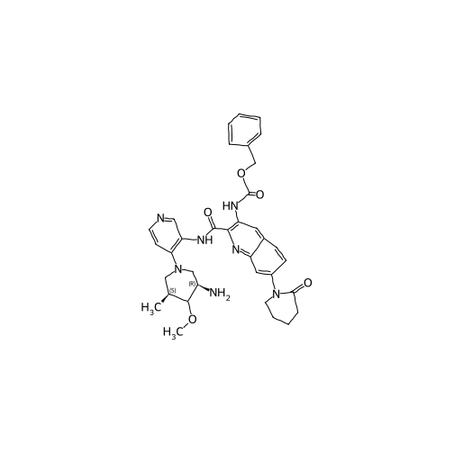 COC1[C@H](N)CN(c2ccncc2NC(=O)c2nc3cc(N4CCCCC4=O)ccc3cc2NC(=O)OCc2ccccc2)C[C@@H]1C